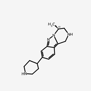 C[C@H]1CNCc2c3ccc(C4CCNCC4)cc3nn21